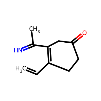 C=CC1=C(C(C)=N)CC(=O)CC1